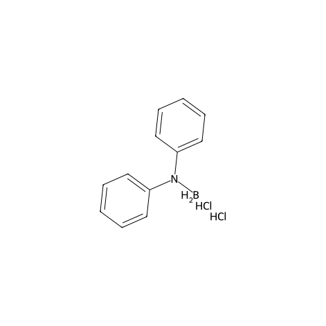 BN(c1ccccc1)c1ccccc1.Cl.Cl